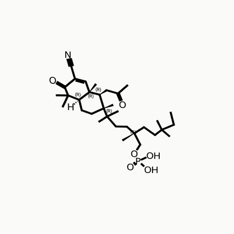 CCC(C)(C)CC[C@@](C)(CCC(C)(C)[C@]1(C)CC[C@H]2C(C)(C)C(=O)C(C#N)=C[C@]2(C)[C@H]1CC(C)=O)COP(=O)(O)O